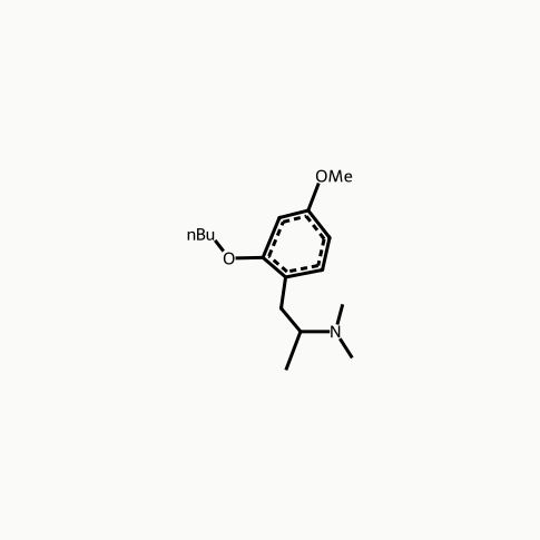 CCCCOc1cc(OC)ccc1CC(C)N(C)C